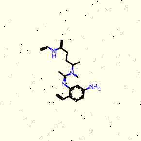 C=CNC(=C)CCC(C)N(C)/C(C)=N\c1cc(N)ccc1C=C